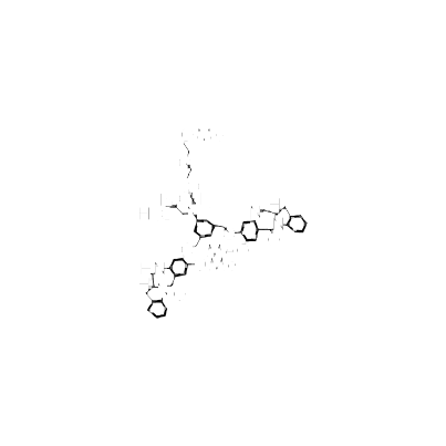 COCCOCCOCCN(CC(C)(C)S)c1cc(COc2cc3c(cc2OC)C(=O)N2c4ccccc4C[C@@H]2C=N3)cc(COc2cc3c(cc2OC)C(=O)N2c4ccccc4C[C@H]2CN3)c1